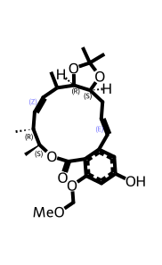 COCOc1cc(O)cc2c1C(=O)O[C@@H](C)[C@H](C)/C=C\C(C)[C@H]1OC(C)(C)O[C@H]1C/C=C/2